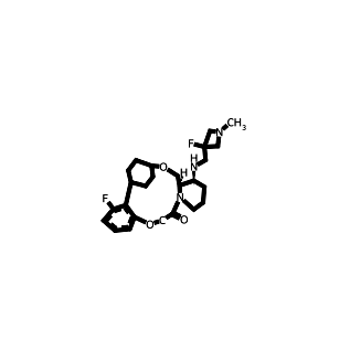 CN1CC(F)(CN[C@H]2CCCN3C(=O)COc4cccc(F)c4C4CCC(CC4)OC[C@@H]23)C1